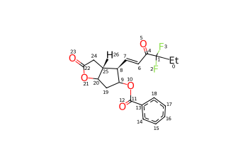 CCC(F)(F)C(=O)/C=C/[C@H]1C(OC(=O)c2ccccc2)CC2OC(=O)C[C@@H]21